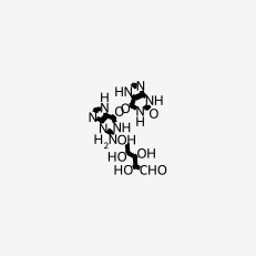 Nc1nc2nc[nH]c2c(=O)[nH]1.O=CC(O)C(O)C(O)CO.O=c1[nH]c(=O)c2[nH]cnc2[nH]1